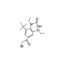 CCOc1cc(C(=O)CBr)cc(C(C)(C)C)c1N(CC)C(=O)O